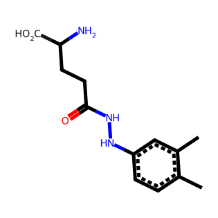 Cc1ccc(NNC(=O)CCC(N)C(=O)O)cc1C